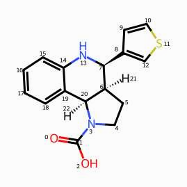 O=C(O)N1CC[C@@H]2[C@H](c3ccsc3)Nc3ccccc3[C@@H]21